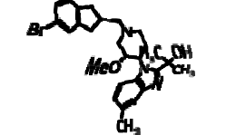 CO[C@H]1CN(C[C@@H]2Cc3ccc(Br)cc3C2)CC[C@H]1n1c(C(C)(C)O)nc2cc(C)ccc21